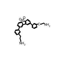 NCCCc1cccc(-c2ccc3c(c2)-c2cc(-c4cccc(CCCN)c4)ccc2S3(=O)=O)c1